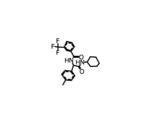 Cc1ccc(C(NC(=O)c2cccc(C(F)(F)F)c2)C(=O)NC2CCCCC2)cc1